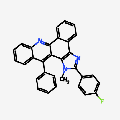 Cn1c(-c2ccc(F)cc2)nc2c3ccccc3c3nc4ccccc4c(-c4ccccc4)c3c21